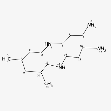 CC(CCNCCCN)CC(C)CNCCCN